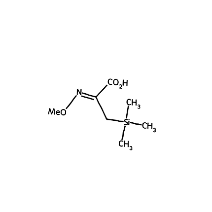 CON=C(C[Si](C)(C)C)C(=O)O